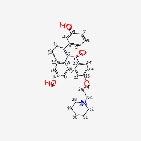 O=C(C1=C(c2cccc(O)c2)CCc2cc(O)ccc21)c1ccc(OCCN2CCCCC2)cc1